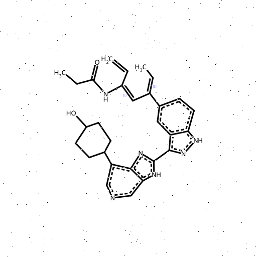 C=C/C(=C\C(=C/C)c1ccc2[nH]nc(-c3nc4c(C5CCC(O)CC5)cncc4[nH]3)c2c1)NC(=O)CC